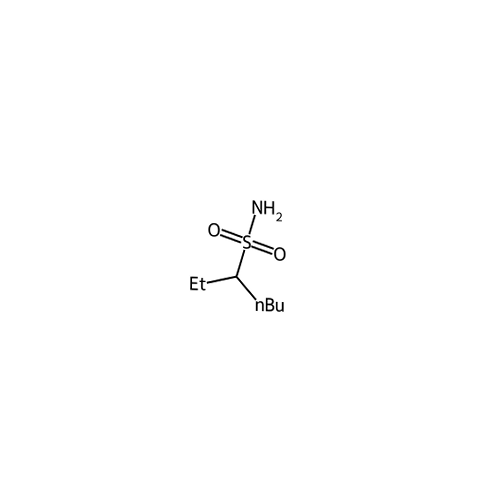 [CH2]CC(CCCC)S(N)(=O)=O